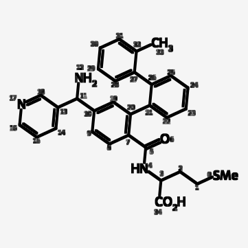 CSCCC(NC(=O)c1ccc(C(N)c2cccnc2)cc1-c1ccccc1-c1ccccc1C)C(=O)O